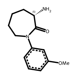 COc1cccc(N2CCCC[C@H](N)C2=O)c1